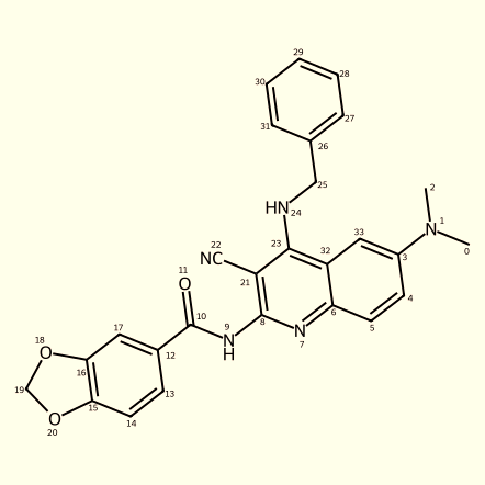 CN(C)c1ccc2nc(NC(=O)c3ccc4c(c3)OCO4)c(C#N)c(NCc3ccccc3)c2c1